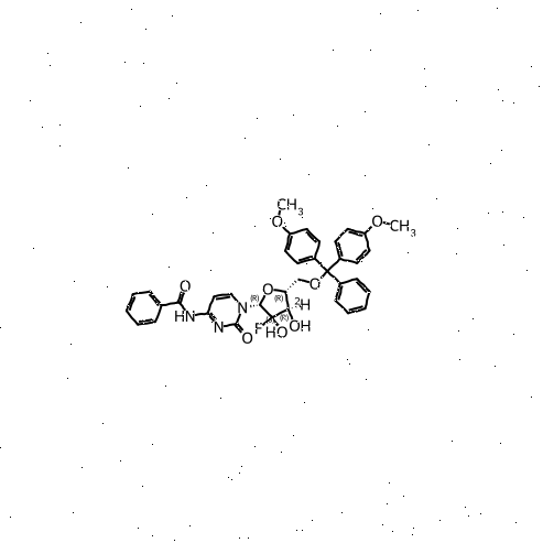 [2H][C@@]1(O)[C@@H](COC(c2ccccc2)(c2ccc(OC)cc2)c2ccc(OC)cc2)O[C@@H](n2ccc(NC(=O)c3ccccc3)nc2=O)[C@@]1(O)F